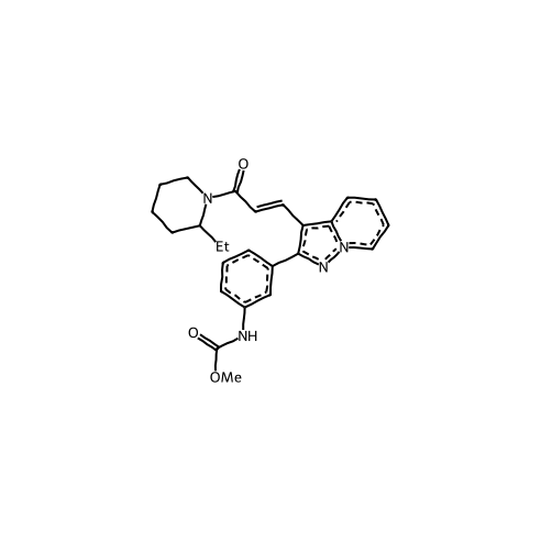 CCC1CCCCN1C(=O)C=Cc1c(-c2cccc(NC(=O)OC)c2)nn2ccccc12